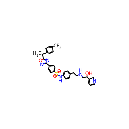 CC(c1ccc(C(F)(F)F)cc1)c1nc(-c2ccc(S(=O)(=O)Nc3ccc(CCNCC(O)c4cccnc4)cc3)cc2)no1